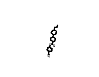 CCCC1CCC(C2CCC(C(=O)Oc3ccc(C#N)cc3)CC2)CC1